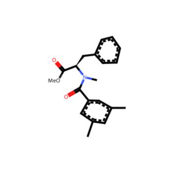 COC(=O)[C@@H](Cc1ccccc1)N(C)C(=O)c1cc(C)cc(C)c1